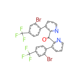 O=C(c1ncccc1-c1ccc(C(F)(F)F)cc1Br)c1ncccc1-c1ccc(C(F)(F)F)cc1Br